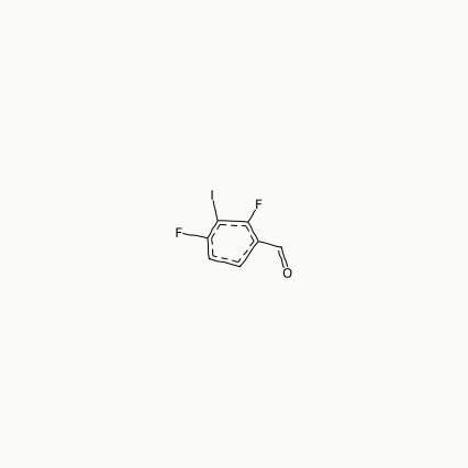 O=Cc1ccc(F)c(I)c1F